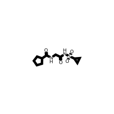 O=C(CNC(=O)C1CCCC1)NS(=O)(=O)C1CC1